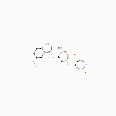 Cc1ccc(Oc2ccc(Nc3c(C#N)cnc4ccc(N(C)C)cc34)cc2C)cn1